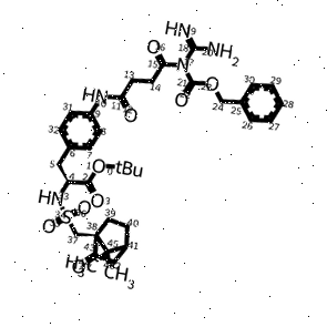 CC(C)(C)OC(=O)[C@H](Cc1ccc(NC(=O)CCC(=O)N(C(=N)N)C(=O)OCc2ccccc2)cc1)NS(=O)(=O)C[C@]12CCC(CC1=O)C2(C)C